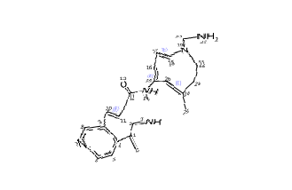 C=C(C=N)c1ccncc1/C=C/C(=O)NC1=C/C=C/N(CN)CC\C(C)=C\1